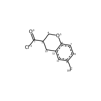 O=C(Cl)C1COc2ccc(F)cc2C1